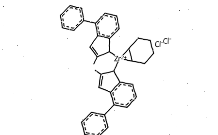 CC1=Cc2c(-c3ccccc3)cccc2[CH]1[Zr+2]1([CH]2C(C)=Cc3c(-c4ccccc4)cccc32)[CH]2CCCC[CH]21.[Cl-].[Cl-]